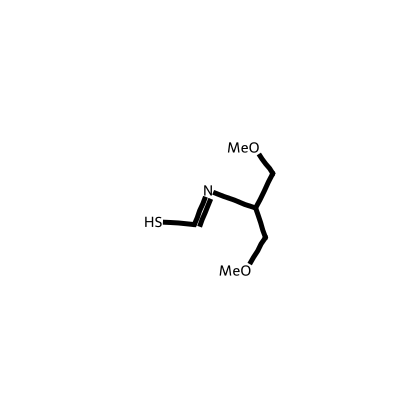 COCC(COC)N=CS